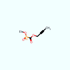 CC#CCOC(=O)[PH](=O)OCC